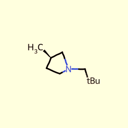 C[C@@H]1CCN(CC(C)(C)C)C1